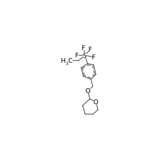 CCS(F)(F)(F)(F)c1ccc(COC2CCCCO2)cc1